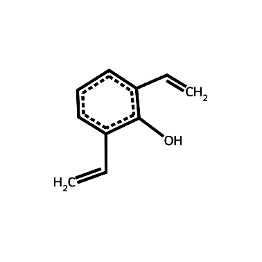 C=Cc1cccc(C=C)c1O